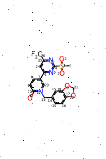 CS(=O)(=O)c1nc(-c2ccc(=O)n(Cc3ccc4c(c3)OCO4)c2)cc(C(F)(F)F)n1